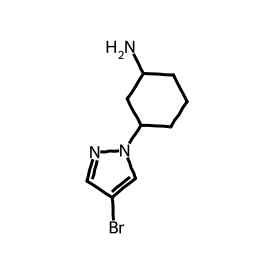 NC1CCCC(n2cc(Br)cn2)C1